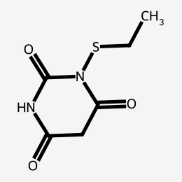 CCSN1C(=O)CC(=O)NC1=O